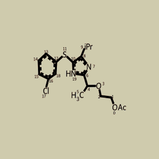 CC(=O)OCCOC(C)c1nc(C(C)C)c(Sc2cccc(Cl)c2)[nH]1